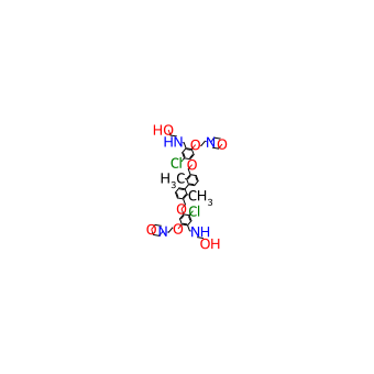 Cc1c(COc2cc(OCCN3CCOCC3)c(CNCCO)cc2Cl)cccc1-c1cccc(COc2cc(OCCN3CCOCC3)c(CNCCO)cc2Cl)c1C